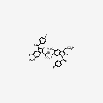 CCC(C(=O)O)c1c(C)n(C(=O)c2ccc(F)cc2)c2cc(F)c(OC)cc12.COc1cc2c(CC(=O)O)c(C)n(C(=O)c3ccc(F)cc3)c2cc1F